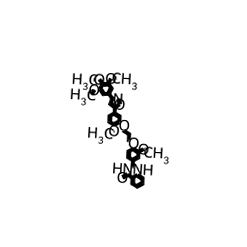 COc1cc(C2NC(=O)c3ccccc3N2)ccc1OCCCOc1cc(-c2cc(-c3cc(OC)c(OC)c(OC)c3)no2)ccc1OC